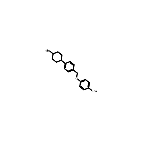 CCCCc1ccc(OCc2ccc(C3CCC(CCCC)CC3)cc2)cc1